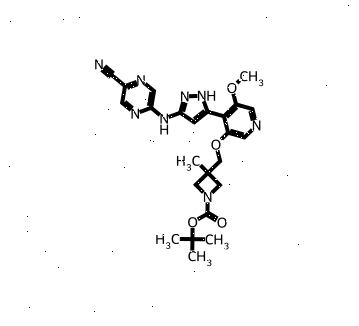 COc1cncc(OCC2(C)CN(C(=O)OC(C)(C)C)C2)c1-c1cc(Nc2cnc(C#N)cn2)n[nH]1